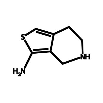 Nc1scc2c1CNCC2